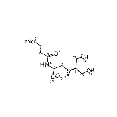 CCCCCCCCCCCC(=O)N[C@@H](CSC(CO)CO)C(=O)O